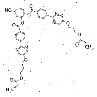 C=CC(=O)OCCCOc1cnc(-c2ccc(C(=O)Oc3ccc(C#N)cc3OC(=O)c3ccc(-c4ncc(OCCCOC(=O)C=C)cn4)cc3)cc2)nc1